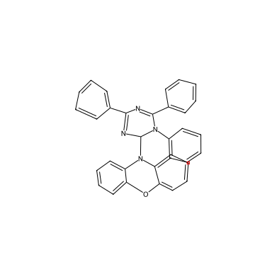 c1ccc(C2=NC(N3c4ccccc4Oc4ccccc43)N(c3ccccc3)C(c3ccccc3)=N2)cc1